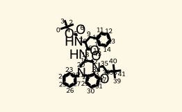 CC(C)(C)OC(=O)NC(Cc1ccccc1)C(=O)NC1CN(c2ccccc2)c2ccccc2N(CC(=O)C(C)(C)C)C1=O